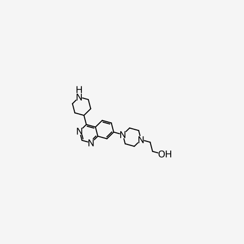 OCCN1CCN(c2ccc3c(C4CCNCC4)ncnc3c2)CC1